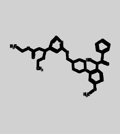 CCOC(=O)CC(OCC)c1ccnc(OCC2CCN(c3cc(OC)ccc3C(O)C(=O)c3ccccc3)CC2)c1